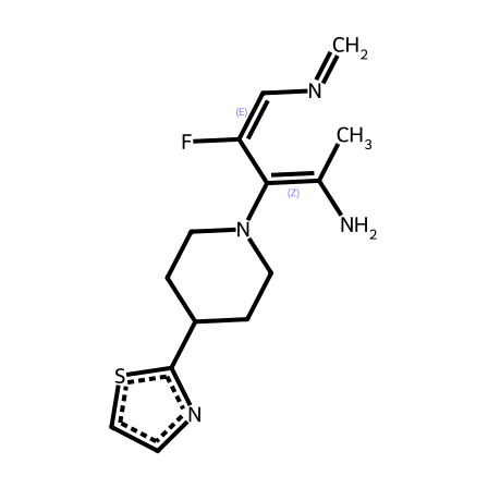 C=N/C=C(F)\C(=C(/C)N)N1CCC(c2nccs2)CC1